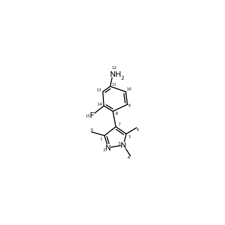 Cc1nn(C)c(C)c1-c1ccc(N)cc1F